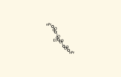 CCCc1ccc(C(=O)Oc2ccc(CCC(=O)Oc3ccc(OC(=O)CCc4ccc(OC(=O)c5ccc(CCC)cc5)cc4)c(CC)c3)cc2)cc1